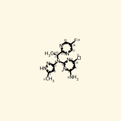 Cc1cc(N(c2nc(N)cc(Cl)n2)[C@@H](C)c2ncc(F)cn2)n[nH]1